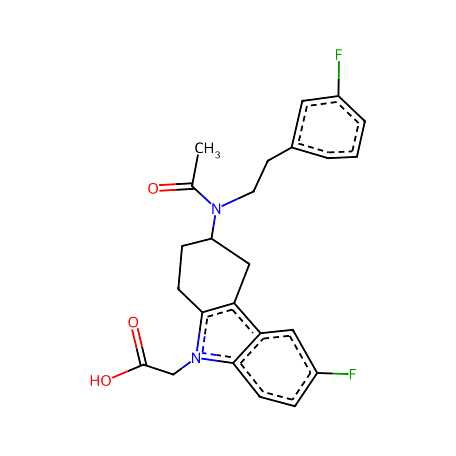 CC(=O)N(CCc1cccc(F)c1)C1CCc2c(c3cc(F)ccc3n2CC(=O)O)C1